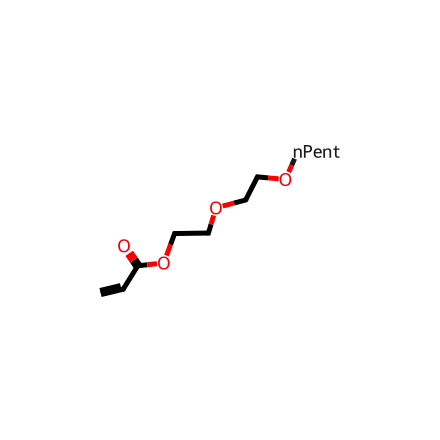 C=CC(=O)OCCOCCOCCCCC